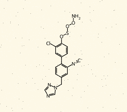 [C-]#[N+]c1cc(Cn2cncn2)ccc1-c1ccc(OSOON)c(Cl)c1